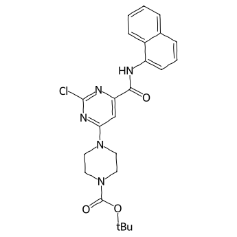 CC(C)(C)OC(=O)N1CCN(c2cc(C(=O)Nc3cccc4ccccc34)nc(Cl)n2)CC1